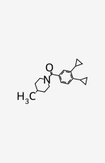 CC1CCN(C(=O)c2ccc(C3CC3)c(C3CC3)c2)CC1